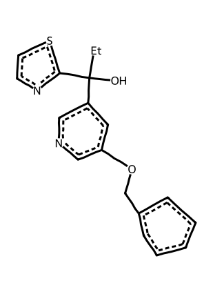 CCC(O)(c1cncc(OCc2ccccc2)c1)c1nccs1